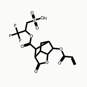 C=CC(=O)OC1C2CC3C1OC(=O)C3C2C(=O)OC(CS(=O)(=O)O)C(F)(F)F